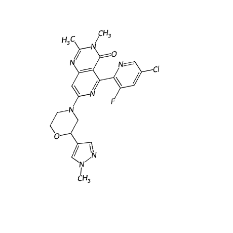 Cc1nc2cc(N3CCOC(c4cnn(C)c4)C3)nc(-c3ncc(Cl)cc3F)c2c(=O)n1C